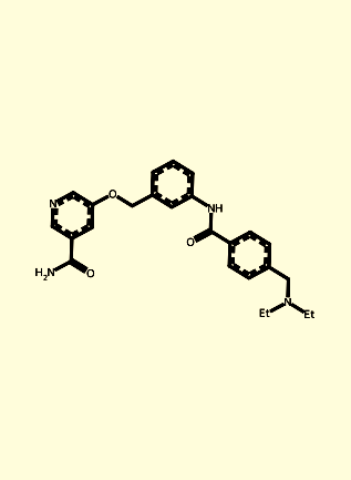 CCN(CC)Cc1ccc(C(=O)Nc2cccc(COc3cncc(C(N)=O)c3)c2)cc1